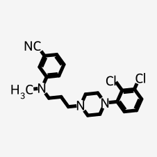 CN(CCCN1CCN(c2cccc(Cl)c2Cl)CC1)c1cccc(C#N)c1